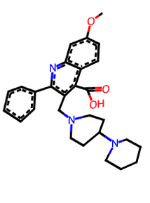 COc1ccc2c(C(=O)O)c(CN3CCC(N4CCCCC4)CC3)c(-c3ccccc3)nc2c1